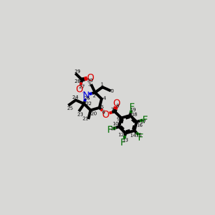 CCC1(C)CC(OC(=O)c2c(F)c(F)c(F)c(F)c2F)C(C)C(C)(CC)N1OC(C)=O